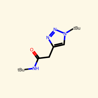 CC(C)(C)NC(=O)Cc1cn(C(C)(C)C)nn1